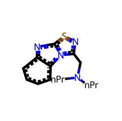 CCCN(CCC)Cc1nsc2nc3ccccc3n12